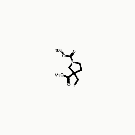 COC(=O)C1(CI)CCN(C(=O)OC(C)(C)C)C1